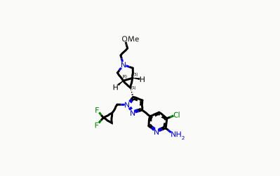 COCCN1C[C@@H]2[C@H](C1)[C@@H]2c1cc(-c2cnc(N)c(Cl)c2)nn1CC1CC1(F)F